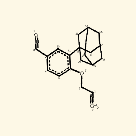 C=CCOc1ccc(C=O)cc1C12CC3CC(CC(C3)C1)C2